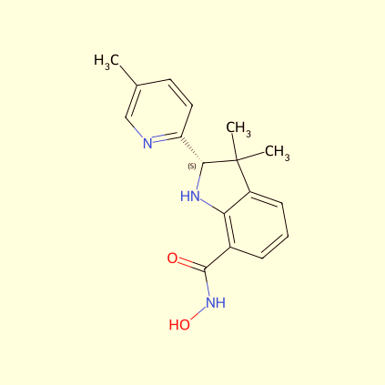 Cc1ccc([C@H]2Nc3c(C(=O)NO)cccc3C2(C)C)nc1